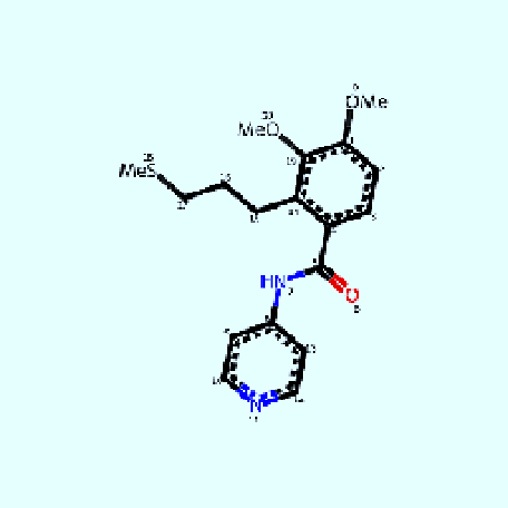 COc1ccc(C(=O)Nc2ccncc2)c(CCCSC)c1OC